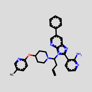 C=CCC(N1CCC(Oc2ccc(C#N)cn2)CC1)n1c(-c2cccnc2N)nc2cc(-c3ccccc3)cnc21